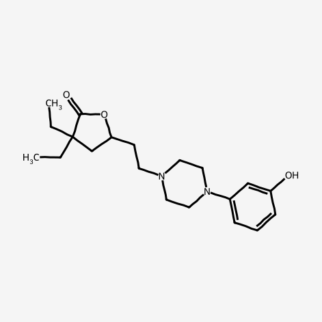 CCC1(CC)CC(CCN2CCN(c3cccc(O)c3)CC2)OC1=O